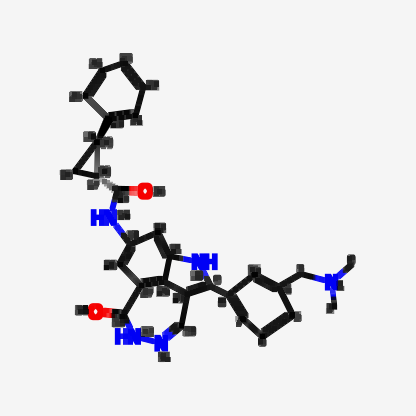 CN(C)Cc1cccc(-c2[nH]c3cc(NC(=O)[C@@H]4C[C@H]4c4ccccc4)cc4c3c2C=NNC4=O)c1